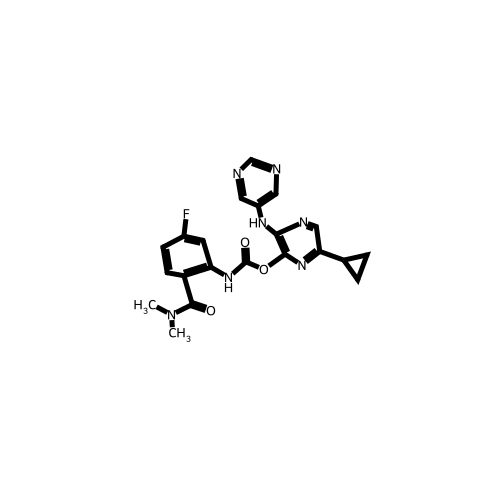 CN(C)C(=O)c1ccc(F)cc1NC(=O)Oc1nc(C2CC2)cnc1Nc1cncnc1